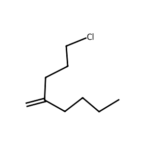 C=C(CCCC)CCCCl